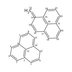 C1=Cc2cccc3cccc(c23)C1.C=c1ccc2cccc3cccc1c32